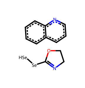 [SeH][Se]C1=NCCO1.c1ccc2ncccc2c1